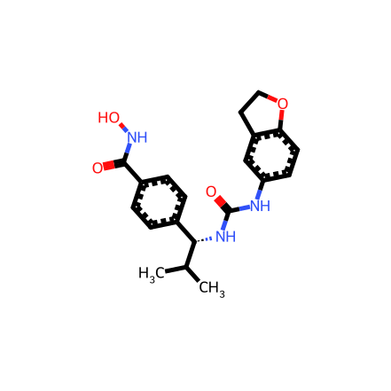 CC(C)[C@@H](NC(=O)Nc1ccc2c(c1)CCO2)c1ccc(C(=O)NO)cc1